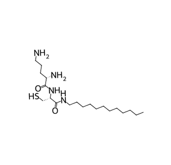 CCCCCCCCCCCCNC(=O)[C@H](CS)NC(=O)[C@@H](N)CCCN